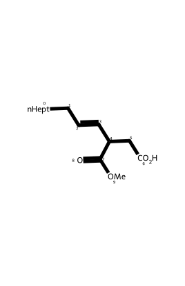 CCCCCCCCC=CC(CC(=O)O)C(=O)OC